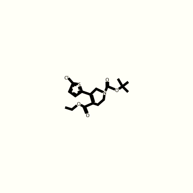 CCOC(=O)C1=C(c2ccc(Cl)s2)CN(C(=O)OC(C)(C)C)CC1